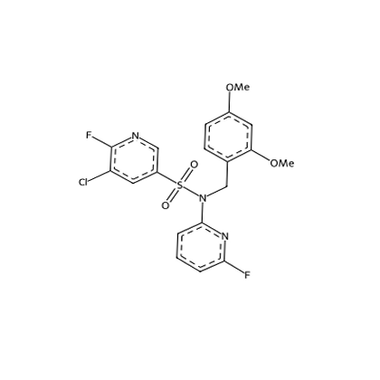 COc1ccc(CN(c2cccc(F)n2)S(=O)(=O)c2cnc(F)c(Cl)c2)c(OC)c1